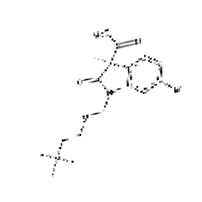 COC(=O)[C@]1(C)C(=O)N(COCC[Si](C)(C)C)c2cc(Br)ccc21